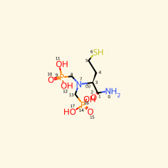 NC(=O)[C@H](CCS)N(CP(=O)(O)O)CP(=O)(O)O